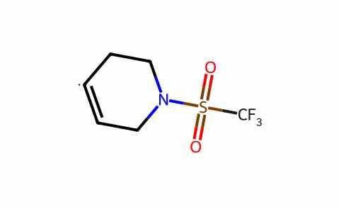 O=S(=O)(N1CC=[C]CC1)C(F)(F)F